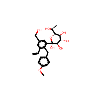 C=Cc1cc(CO)cc([C@@]2(O)O[C@H]([C@H](C)O)[C@@H](O)[C@H](O)[C@H]2O)c1Cc1ccc(OC)cc1